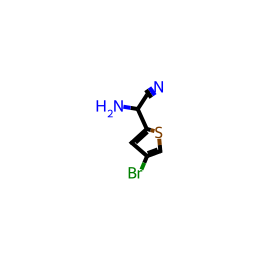 N#CC(N)c1cc(Br)cs1